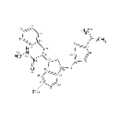 CC(C)c1ccc(CN2CC(C(Cc3ccccc3)C(=O)NO)c3cc(Br)ccc32)cc1